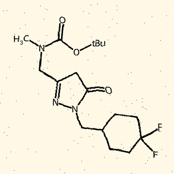 CN(CC1=NN(CC2CCC(F)(F)CC2)C(=O)C1)C(=O)OC(C)(C)C